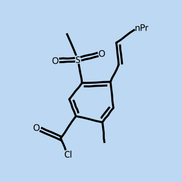 CCC/C=C/c1cc(C)c(C(=O)Cl)cc1S(C)(=O)=O